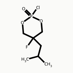 CC(C)CC1(F)COP(=O)(Cl)OC1